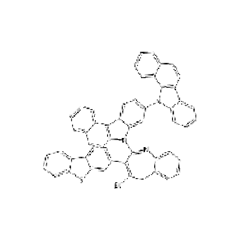 CCC1=C(c2ccc3c(c2)sc2ccccc23)C(n2c3cc(-n4c5ccccc5c5ccc6ccccc6c54)ccc3c3c4ccccc4ccc32)=Nc2ccccc2C1